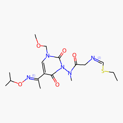 CCS/C=N\CC(=O)N(C)n1c(=O)c(/C(C)=N/OC(C)C)cn(COC)c1=O